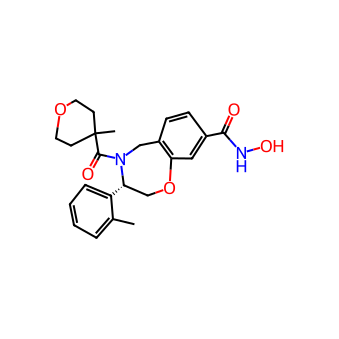 Cc1ccccc1[C@H]1COc2cc(C(=O)NO)ccc2CN1C(=O)C1(C)CCOCC1